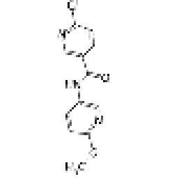 COc1ccc(NC(=O)c2ccc(Cl)nc2)cn1